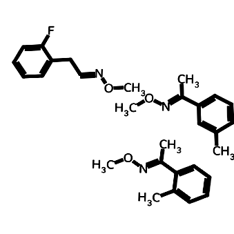 CON=C(C)c1cccc(C)c1.CON=C(C)c1ccccc1C.CON=CCc1ccccc1F